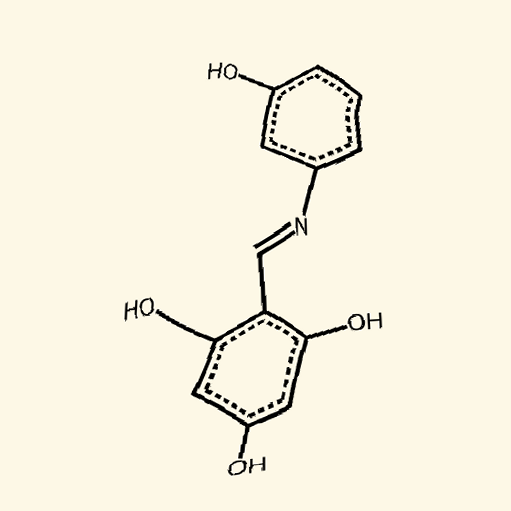 Oc1cccc(N=Cc2c(O)cc(O)cc2O)c1